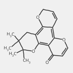 CC1(C)Cc2c3c(c4occc(=O)c4c2OC1(C)C)C=CCO3